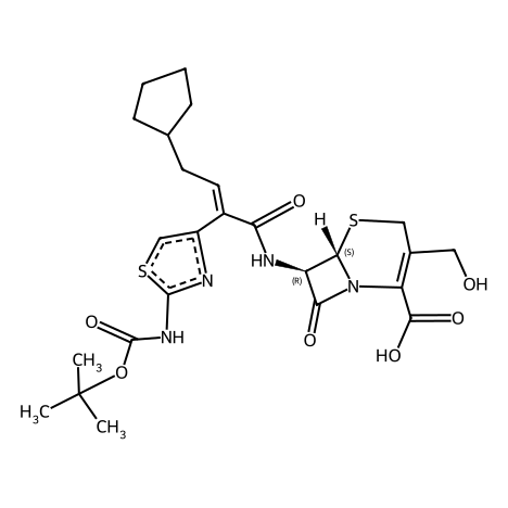 CC(C)(C)OC(=O)Nc1nc(C(=CCC2CCCC2)C(=O)N[C@@H]2C(=O)N3C(C(=O)O)=C(CO)CS[C@@H]23)cs1